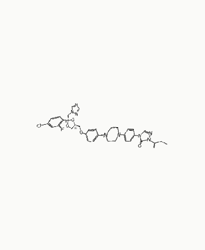 CCC(C)n1ncn(-c2ccc(N3CCN(c4ccc(OC[C@H]5CO[C@](Cn6cncn6)(c6ccc(Cl)cc6F)O5)cc4)CC3)cc2)c1=O